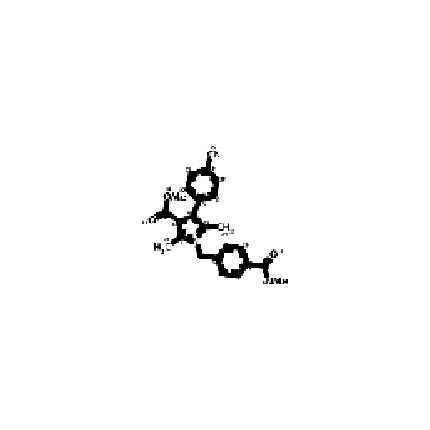 CNC(=O)c1ccc(Cn2c(C)c(C(=O)OC)c(-c3ccc(C#N)cc3)c2C)cc1